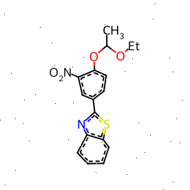 CCOC(C)Oc1ccc(-c2nc3ccccc3s2)cc1[N+](=O)[O-]